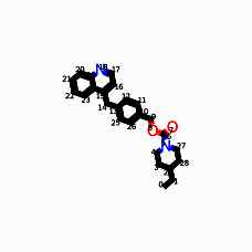 CCC1CCN(C(=O)OCc2ccc(Cc3ccnc4ccccc34)cc2)CC1